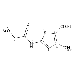 CCOC(=O)c1sc(NC(=O)COC(C)=O)cc1C